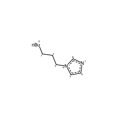 [CH2]CCCCCCn1ccnc1